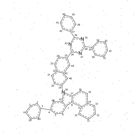 c1ccc(-c2ccc3c4c5ccccc5ccc4n(-c4ccc5ccc(-c6nc(-c7ccccc7)nc(-c7ccccc7)n6)cc5c4)c3c2)cc1